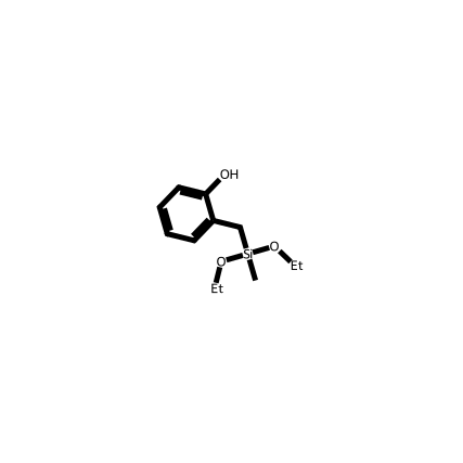 CCO[Si](C)(Cc1ccccc1O)OCC